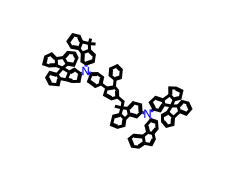 CC1(C)c2ccccc2-c2cc(N(c3ccc(-c4ccc(CC5(C)c6ccccc6-c6cc(N(c7ccc8c(c7)C7(c9ccccc9-c9ccccc97)c7ccccc7-8)c7ccc8ccc9ccccc9c8c7)ccc65)cc4-c4ccccc4)cc3)c3ccc4c(c3)C3(c5ccccc5-c5ccccc53)c3ccccc3-4)ccc21